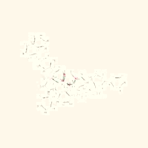 CC1(C)c2cc(-c3ccccc3)ccc2-c2ccc(N(c3ccc(-c4ccc(-c5cccc6ccccc56)cc4)cc3)c3cccc(-c4ccccc4)c3-c3ccccc3-c3ccccc3)cc21